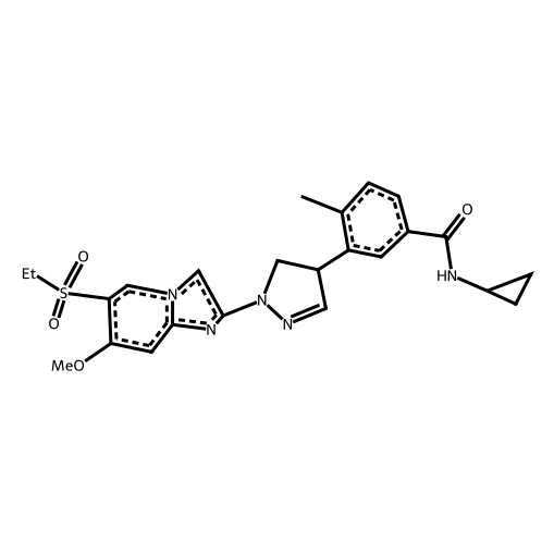 CCS(=O)(=O)c1cn2cc(N3CC(c4cc(C(=O)NC5CC5)ccc4C)C=N3)nc2cc1OC